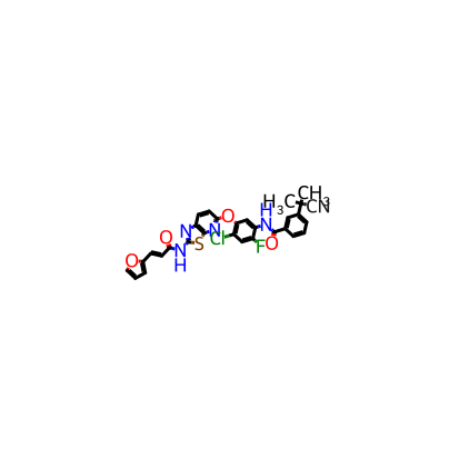 CC(C)(C#N)c1cccc(C(=O)Nc2cc(Oc3ccc4nc(NC(=O)C=Cc5ccco5)sc4n3)c(Cl)cc2F)c1